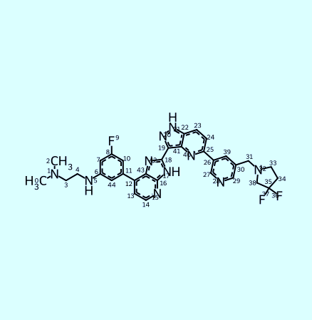 CN(C)CCNc1cc(F)cc(-c2ccnc3[nH]c(-c4n[nH]c5ccc(-c6cncc(CN7CCC(F)(F)C7)c6)nc45)nc23)c1